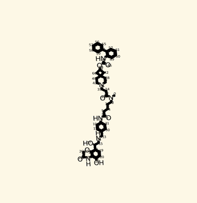 CN(CCCCC(=O)Nc1ccc(CNC[C@H](O)c2ccc(O)c3c2OCC(=O)N3)cc1)C(=O)CCN1CCC2(CC1)CC(OC(=O)Nc1ccccc1-c1ccccc1)C2